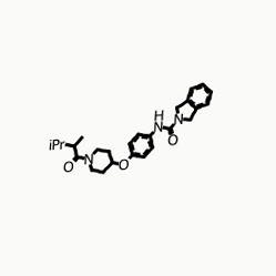 CC(C)C(C)C(=O)N1CCC(Oc2ccc(NC(=O)N3Cc4ccccc4C3)cc2)CC1